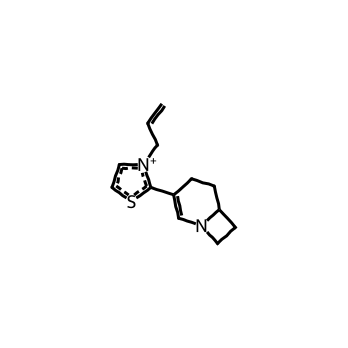 C=CC[n+]1ccsc1C1=CN2CCC2CC1